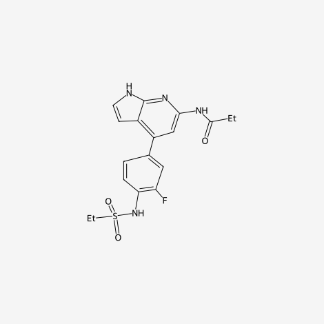 CCC(=O)Nc1cc(-c2ccc(NS(=O)(=O)CC)c(F)c2)c2cc[nH]c2n1